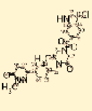 C[C@H]1CN(S(=O)(=O)c2ccc3c(Cl)c[nH]c3c2)CC(=O)N1Cc1ccc(-c2ccc(=O)n(C)n2)cc1